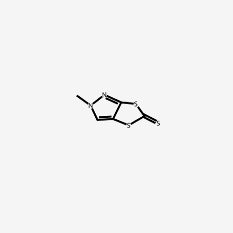 Cn1cc2sc(=S)sc2n1